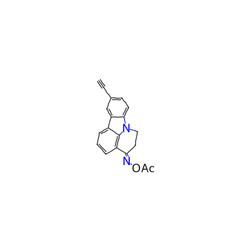 C#Cc1ccc2c(c1)c1cccc3c1n2CC/C3=N\OC(C)=O